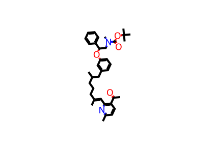 CC(=O)c1ccc(C)nc1/C=C(\C)CCCC(C)Cc1cccc(OC(CN(C)C(=O)OC(C)(C)C)c2ccccc2)c1